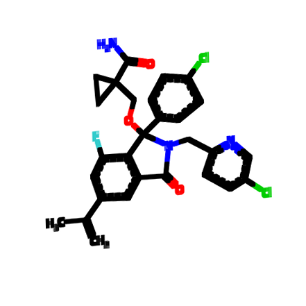 C=C(C)c1cc(F)c2c(c1)C(=O)N(Cc1ccc(Cl)cn1)C2(OCC1(C(N)=O)CC1)c1ccc(Cl)cc1